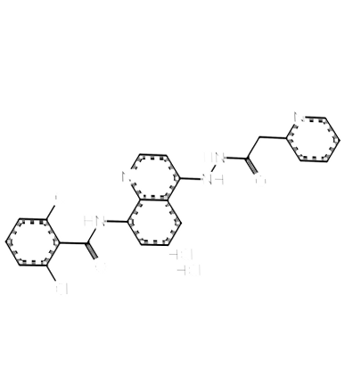 Cl.Cl.O=C(Cc1ccccn1)NNc1ccnc2c(NC(=O)c3c(Cl)cccc3Cl)cccc12